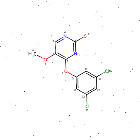 COc1cnc([S])nc1Oc1cc(Cl)cc(Cl)c1